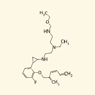 C=C/C=C\C(=C)COc1c(F)cccc1C1CC1NCCN(CC)CCNCOCC